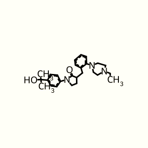 CCN1CCN(c2ccccc2CC2CCN(c3ccc(C(C)(C)O)cc3)C2=O)CC1